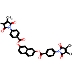 CC1=C(C)C(=O)N(c2ccc(C(=O)Oc3ccc4ccc(OC(=O)c5ccc(N6C(=O)C(C)=C(C)C6=O)cc5)cc4c3)cc2)C1=O